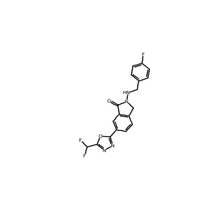 O=C1c2cc(-c3nnc(C(F)F)o3)ccc2CN1NCc1ccc(F)cc1